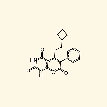 O=c1[nH]c(=O)c2c(CCC3CCC3)c(-c3ccccc3)c(=O)oc2[nH]1